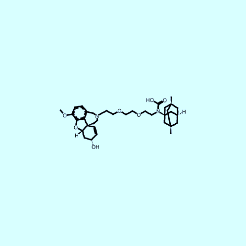 COc1ccc2c3c1O[C@H]1C[C@@H](O)C=C[C@@]31CCN(CCOCCOCCN(C(=O)O)[C@]13C[C@@H]4C[C@@](C)(C[C@@](C)(C4)C1)C3)C2